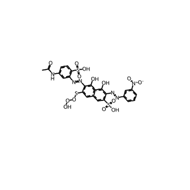 CC(=O)Nc1ccc(S(=O)(=O)O)c(/N=N/c2c(SOOO)cc3cc(S(=O)(=O)O)c(/N=N/c4cccc([N+](=O)[O-])c4)c(O)c3c2O)c1